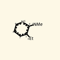 CCc1cccnc1NC